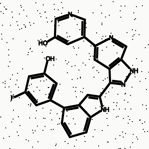 Oc1cncc(-c2cc3c(-c4cc5c(-c6cc(O)cc(F)c6)cccc5[nH]4)n[nH]c3cn2)c1